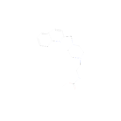 CC(C)(C)OC(=O)NCCN1CCN(Cc2ccc3ccccc3n2)CC1